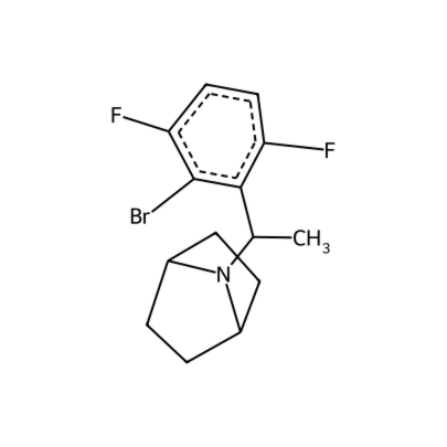 CC(c1c(F)ccc(F)c1Br)N1C2CCC1CC2